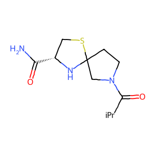 CC(C)C(=O)N1CCC2(C1)N[C@H](C(N)=O)CS2